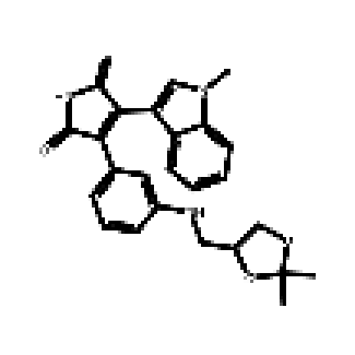 Cn1cc(C2=C(c3cccc(NCC4COC(C)(C)O4)c3)C(=O)NC2=O)c2ccccc21